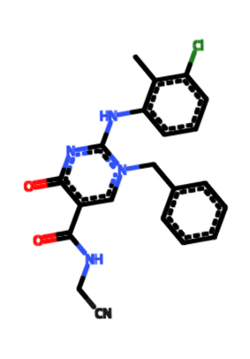 Cc1c(Cl)cccc1Nc1nc(=O)c(C(=O)NCC#N)cn1Cc1ccccc1